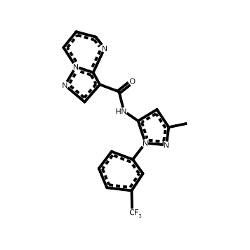 Cc1cc(NC(=O)c2cnn3cccnc23)n(-c2cccc(C(F)(F)F)c2)n1